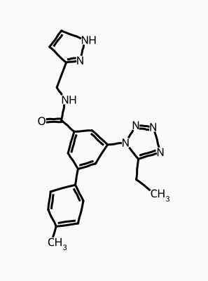 CCc1nnnn1-c1cc(C(=O)NCc2cc[nH]n2)cc(-c2ccc(C)cc2)c1